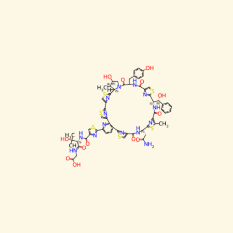 Cc1sc2nc1C(=O)N[C@@H]([C@H](O)c1ccccc1)c1nc(cs1)C(=O)NC(Cc1ccc(O)cc1)C(=O)N1C[C@H](O)[C@H](C)[C@H]1c1nc(cs1)-c1nc(cs1)-c1nc(-c3nc(C(=O)N[C@H](C(=O)NCC(=O)O)C(C)(C)O)cs3)ccc1-c1nc(cs1)C(=O)N[C@H]2CC(N)=O